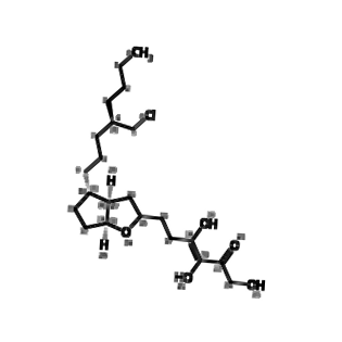 CCCC[C@@H](CCl)CCC[C@H]1CC[C@@H]2OC(CCC(O)=C(O)C(=O)CO)C[C@H]12